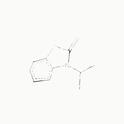 C=C1Oc2ccccc2N1C(C)C